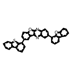 c1ccc2c(c1)oc1c(-c3ccc4nc5oc6ccc(-c7cccc8c7sc7ccccc78)cc6c5nc4c3)cccc12